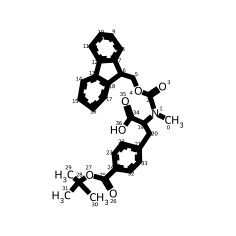 CN(C(=O)OCC1c2ccccc2-c2ccccc21)C(Cc1ccc(C(=O)OC(C)(C)C)cc1)C(=O)O